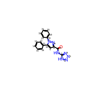 O=C(Nc1nnn[nH]1)c1cc(-c2ccccc2)n(-c2ccccc2)n1